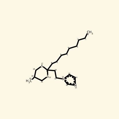 CCCCCCCCCC1(CCn2ccnc2)SCC(C)CS1